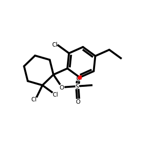 CCc1ccc(C2(OS(C)(=O)=O)CCCCC2(Cl)Cl)c(Cl)c1